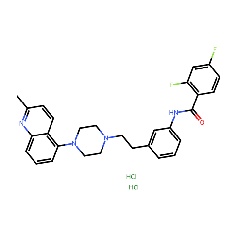 Cc1ccc2c(N3CCN(CCc4cccc(NC(=O)c5ccc(F)cc5F)c4)CC3)cccc2n1.Cl.Cl